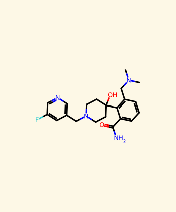 CN(C)Cc1cccc(C(N)=O)c1C1(O)CCN(Cc2cncc(F)c2)CC1